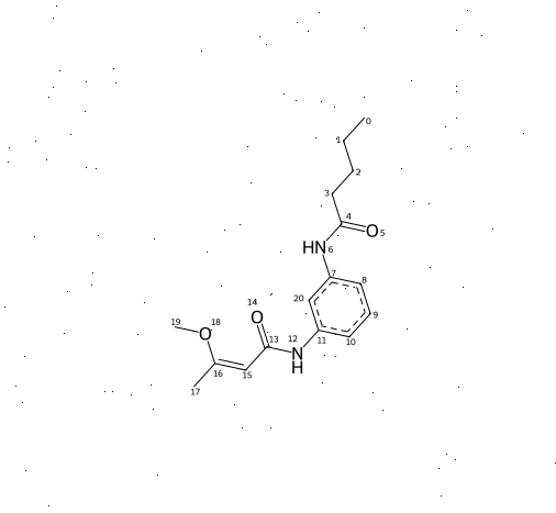 CCCCC(=O)Nc1cccc(NC(=O)/C=C(/C)OC)c1